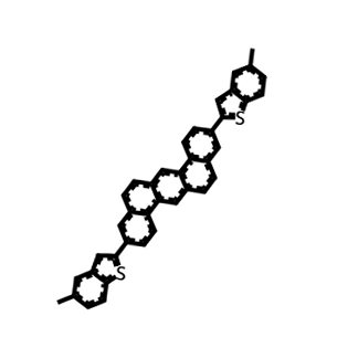 Cc1ccc2sc(-c3ccc4c(ccc5cc6c(ccc7cc(-c8cc9cc(C)ccc9s8)ccc76)cc54)c3)cc2c1